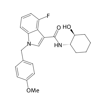 COc1ccc(Cn2cc(C(=O)N[C@H]3CCCC[C@@H]3O)c3c(F)cccc32)cc1